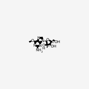 COc1nc(N)nc2c1ncn2[C@@H]1O[C@H](CO)C(O)[C@]1(C)O